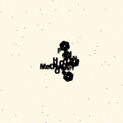 CONC(=O)C(=O)[C@H](Cc1ccccc1)NC(=O)c1cccnc1-n1ccc(-c2ccccc2F)n1